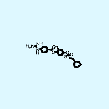 N=C(N)Nc1ccc(C(=O)Oc2ccc(OS(=O)(=O)/C=C/c3ccccc3)cc2Cl)cc1